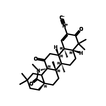 [C-]#[N+]C1=C[C@]2(C)[C@H]3CC(=O)[C@]45C6CC(C)(C)CC[C@@]6(CC[C@@]4(C)[C@]3(C)CC[C@H]2C(C)(C)C1=O)C(=O)N5C